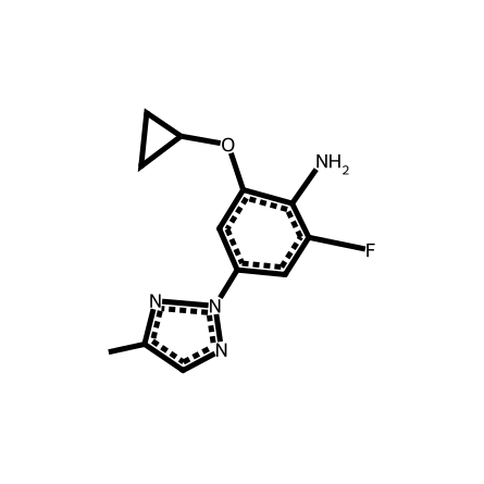 Cc1cnn(-c2cc(F)c(N)c(OC3CC3)c2)n1